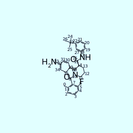 Cc1cccc(F)c1C(=O)N1CCCC(C(=O)Nc2cccc(C(C)(C)C)c2)[C@@H]1C1C=CC(N)=CC1